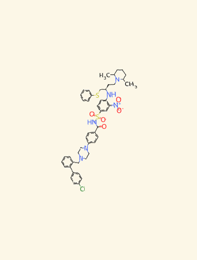 CC1CCCC(C)N1CC[C@H](CSc1ccccc1)Nc1ccc(S(=O)(=O)NC(=O)c2ccc(N3CCN(Cc4ccccc4-c4ccc(Cl)cc4)CC3)cc2)cc1[N+](=O)[O-]